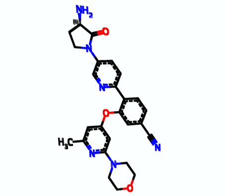 Cc1cc(Oc2cc(C#N)ccc2-c2ccc(N3CC[C@@H](N)C3=O)cn2)cc(N2CCOCC2)n1